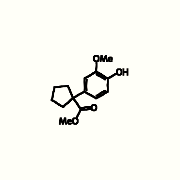 COC(=O)C1(c2ccc(O)c(OC)c2)CCCC1